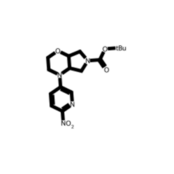 CC(C)(C)OC(=O)N1CC2OCCN(c3ccc([N+](=O)[O-])nc3)C2C1